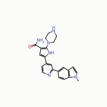 Cn1ccc2cc(-c3cc(-c4cc(C(N)=O)c(N5CCNCC5)[nH]4)ccn3)ccc21